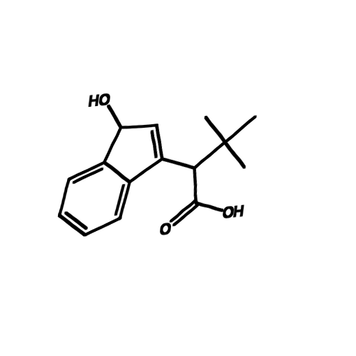 CC(C)(C)C(C(=O)O)C1=CC(O)c2ccccc21